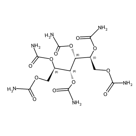 NC(=O)OC[C@H](OC(N)=O)[C@@H](OC(N)=O)[C@H](OC(N)=O)[C@@H](COC(N)=O)OC(N)=O